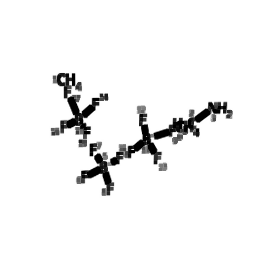 C.C.CN.F[B-](F)(F)F.F[B-](F)(F)F.F[B-](F)(F)F